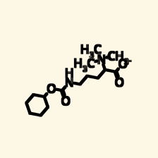 C[N+](C)(C)C(CCCNC(=O)OC1CCCCC1)C(=O)[O-]